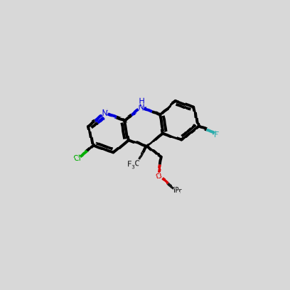 CC(C)OCC1(C(F)(F)F)c2cc(F)ccc2Nc2ncc(Cl)cc21